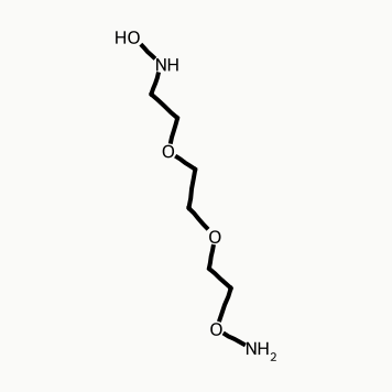 NOCCOCCOCCNO